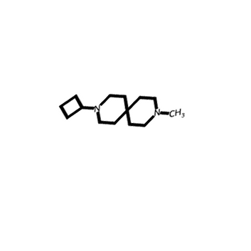 CN1CCC2(CC1)CCN(C1CCC1)CC2